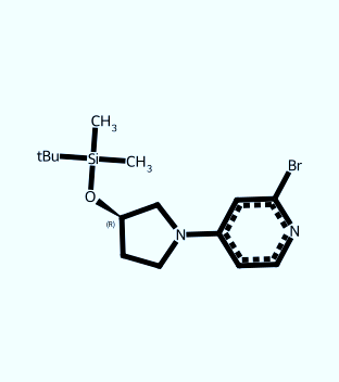 CC(C)(C)[Si](C)(C)O[C@@H]1CCN(c2ccnc(Br)c2)C1